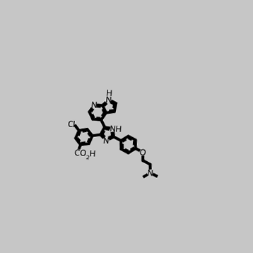 CN(C)CCOc1ccc(-c2nc(-c3cc(Cl)cc(C(=O)O)c3)c(-c3ccnc4[nH]ccc34)[nH]2)cc1